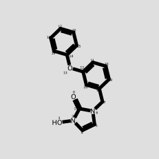 O=c1n(O)ccn1Cc1cccc(Oc2ccccc2)c1